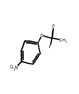 CC(F)(F)Oc1ccc([N+](=O)[O-])cc1